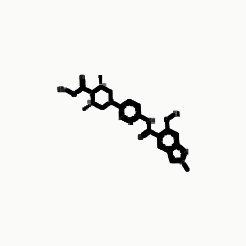 CCOc1cc2nn(C)cc2cc1C(=O)Nc1ccc(N2C[C@@H](C)N(C(=O)OC(C)(C)C)[C@@H](C)C2)nn1